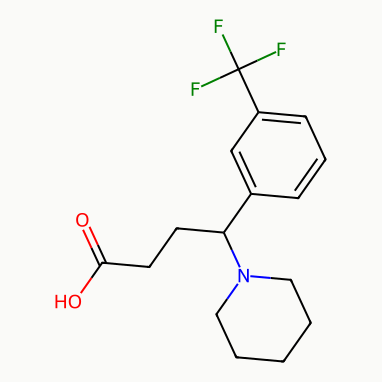 O=C(O)CCC(c1cccc(C(F)(F)F)c1)N1CCCCC1